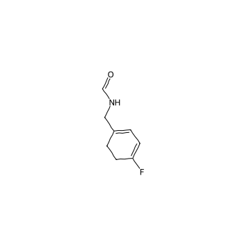 O=CNCC1=CC=C(F)CC1